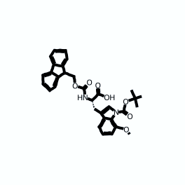 COc1cccc2c(C[C@H](NC(=O)OCC3c4ccccc4-c4ccccc43)C(=O)O)cn(C(=O)OC(C)(C)C)c12